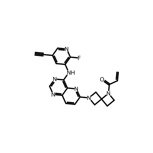 C#Cc1cnc(F)c(Nc2ncnc3ccc(N4CC5(CCN5C(=O)C=C)C4)nc23)c1